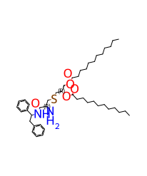 CCCCCCCCCCCC(=O)OC[C@H](CSC[C@H](N)C(=O)NC(Cc1ccccc1)c1ccccc1)OC(=O)CCCCCCCCCCC